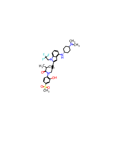 CC(C)C(=O)N(CC#Cc1cc2c(N[C@H]3CC[C@H](N(C)C)CC3)cccc2n1CC(F)(F)F)c1ccc(S(C)(=O)=O)cc1O